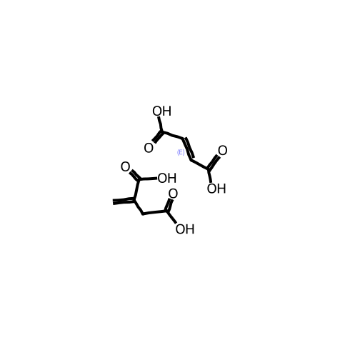 C=C(CC(=O)O)C(=O)O.O=C(O)/C=C/C(=O)O